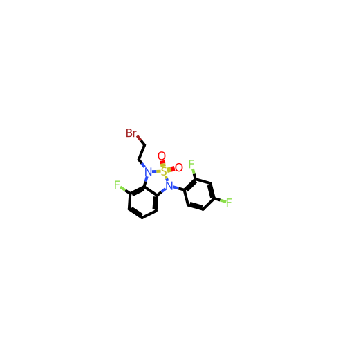 O=S1(=O)N(CCBr)c2c(F)cccc2N1c1ccc(F)cc1F